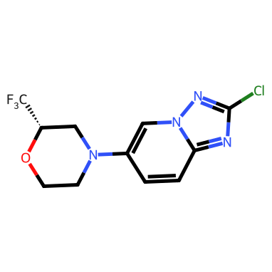 FC(F)(F)[C@@H]1CN(c2ccc3nc(Cl)nn3c2)CCO1